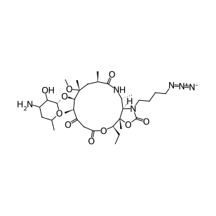 CC[C@H]1OC(=O)CC(=O)[C@@H](C)[C@@H](O[C@@H]2OC(C)CC(N)C2O)[C@](C)(OC)C[C@@H](C)C(=O)N[C@H](C)[C@H]2N(CCCCN=[N+]=[N-])C(=O)O[C@]12C